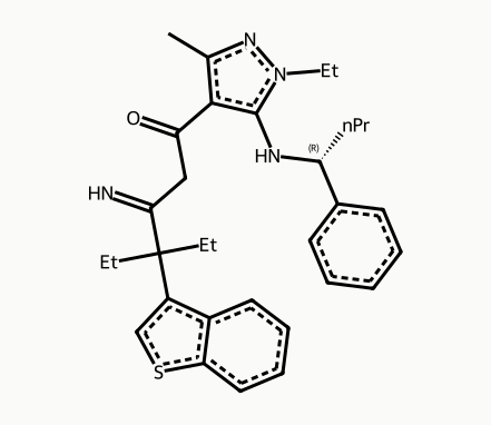 CCC[C@@H](Nc1c(C(=O)CC(=N)C(CC)(CC)c2csc3ccccc23)c(C)nn1CC)c1ccccc1